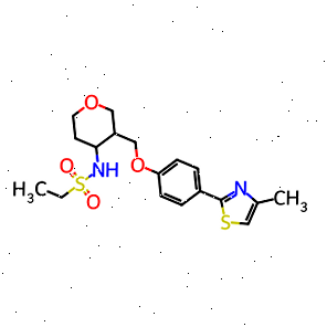 CCS(=O)(=O)NC1CCOCC1COc1ccc(-c2nc(C)cs2)cc1